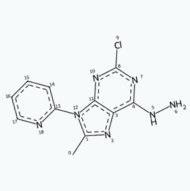 Cc1nc2c(NN)nc(Cl)nc2n1-c1ccccn1